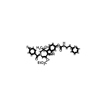 CCOC(=O)OC1=CN(C(=O)c2ccc(F)cc2)CC(C)(C)c2c1[nH]c1cc(OC(=O)NCCc3ccccn3)ccc21